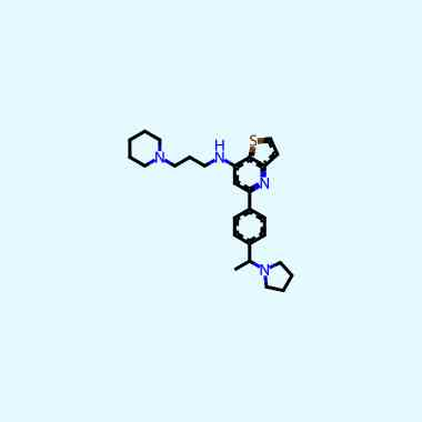 CC(c1ccc(-c2cc(NCCCN3CCCCC3)c3sccc3n2)cc1)N1CCCC1